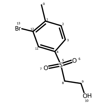 Cc1ccc(S(=O)(=O)CCO)cc1Br